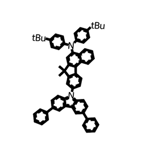 CC(C)(C)c1ccc(N(c2ccc(C(C)(C)C)cc2)c2cc3c(c4ccccc24)-c2ccc(-n4c5ccc(-c6ccccc6)cc5c5cc(-c6ccccc6)ccc54)cc2C3(C)C)cc1